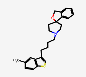 Cc1ccc2scc(CCCCN3CCC4(CC3)OCc3ccccc34)c2c1